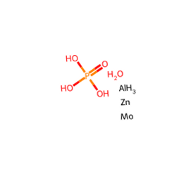 O.O=P(O)(O)O.[AlH3].[Mo].[Zn]